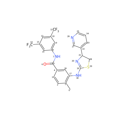 Cc1ccc(C(=O)Nc2cc(C(F)(F)F)cc(C(F)(F)F)c2)cc1NC1=NC(c2cccnc2)CS1